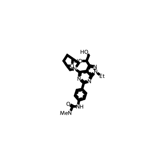 CCn1nc(C(O)CO)c2c(N3CC4CCC(C3)O4)nc(-c3ccc(NC(=O)NC)cc3)nc21